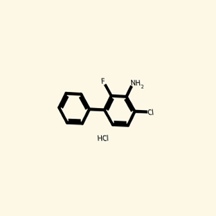 Cl.Nc1c(Cl)ccc(-c2ccccc2)c1F